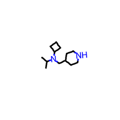 CC(C)N(CC1CCNCC1)C1CCC1